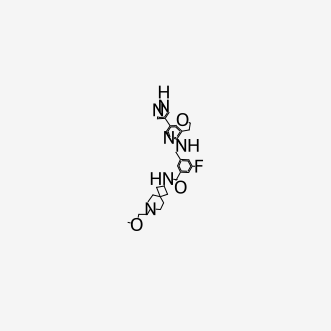 COCCN1CCC2(CC1)CC(NC(=O)c1cc(F)cc(CNc3ncc(-c4cn[nH]c4)c4c3CCO4)c1)C2